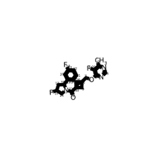 Cc1ncnc(OCC23CC(C(=O)N4CC(F)CC4c4cccc(F)c4)(C2)C3)c1F